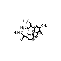 C=C/C(=C\C)c1cc(C)c(Cl)c2sc3c(c12)CN(C(=O)CN)CC3